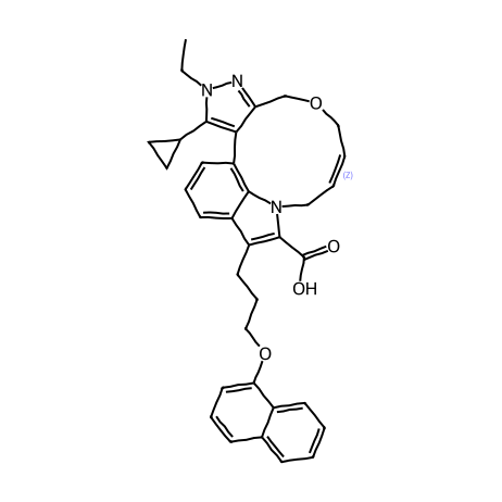 CCn1nc2c(c1C1CC1)-c1cccc3c(CCCOc4cccc5ccccc45)c(C(=O)O)n(c13)C/C=C\COC2